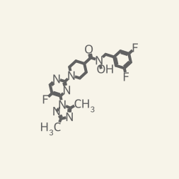 Cc1nc(C)n(-c2nc(N3CCC(C(=O)N(O)Cc4cc(F)cc(F)c4)CC3)ncc2F)n1